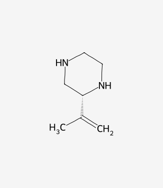 C=C(C)[C@@H]1CNCCN1